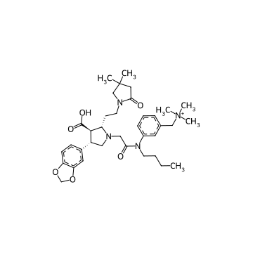 CCCCN(C(=O)CN1C[C@H](c2ccc3c(c2)OCO3)[C@@H](C(=O)O)[C@@H]1CCN1CC(C)(C)CC1=O)c1cccc(C[N+](C)(C)C)c1